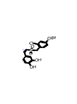 COc1ccc(CS(=O)(=O)/C=C\c2ccc(O)c(O)c2)c(Cl)c1